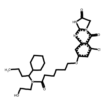 CCCC(C1CCCCC1)N(CCO)C(=O)CCCCCOc1cc(Cl)c2c(=O)n3c(nc2c1)NC(=O)C3